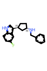 Fc1ccc2[nH]cc([C@H]3CC[C@H](NCc4ccccc4)C3)c2c1